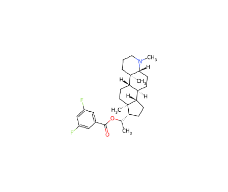 CC(OC(=O)c1cc(F)cc(F)c1)[C@H]1CC[C@H]2[C@@H]3CC[C@H]4N(C)CCC[C@]4(C)[C@H]3CC[C@]12C